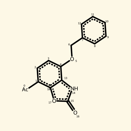 CC(=O)c1ccc(OCc2ccccc2)c2[nH]c(=O)oc12